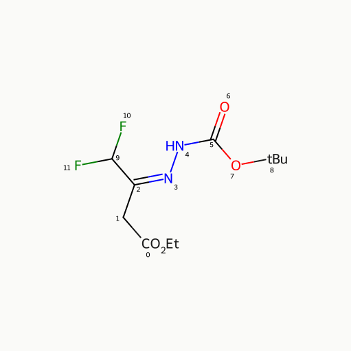 CCOC(=O)CC(=NNC(=O)OC(C)(C)C)C(F)F